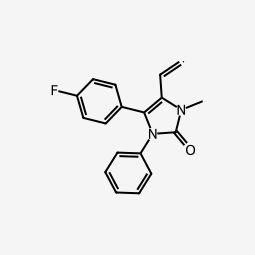 [CH]=Cc1c(-c2ccc(F)cc2)n(-c2ccccc2)c(=O)n1C